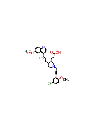 COc1ccc2nccc([C@@H](F)CCC3CCN(CC#Cc4cc(Cl)ccc4OC)CC3CCC(=O)O)c2c1